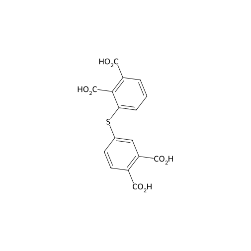 O=C(O)c1ccc(Sc2cccc(C(=O)O)c2C(=O)O)cc1C(=O)O